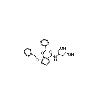 O=C(N[C@@H](CO)CCO)c1cccc(OCc2ccccc2)c1OCc1ccccc1